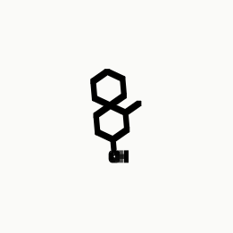 CC1CC(O)CCC12CCCCC2